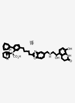 F.F.O=C1CCc2c([C@H](O)CNCc3ccc4oc(CCCCc5ccc(-c6ccccc6)c(N(C(=O)O)[C@H]6CN7CCC6CC7)c5)nc4c3)ccc(O)c2N1